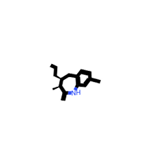 C=C1Nc2cc(C)ccc2C[C@H](CCC)[C@@H]1C